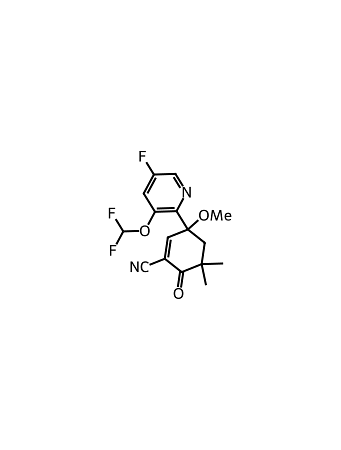 COC1(c2ncc(F)cc2OC(F)F)C=C(C#N)C(=O)C(C)(C)C1